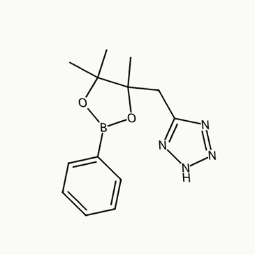 CC1(C)OB(c2ccccc2)OC1(C)Cc1nn[nH]n1